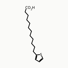 O=C(O)CCCCCCCCCCCc1cccs1